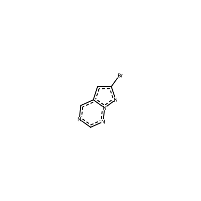 Brc1cc2cncnn2n1